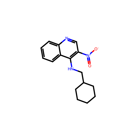 O=[N+]([O-])c1cnc2ccccc2c1NCC1CCCCC1